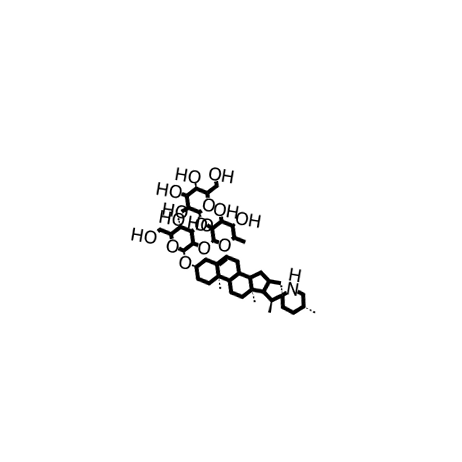 CC1O[C@@H](OC2C(O[C@@H]3OC(CO)[C@@H](O)C(O)C3O)[C@@H](O)C(CO)O[C@H]2O[C@H]2CC[C@@]3(C)C(=CCC4C5CC6C[C@]7(CC[C@@H](C)CN7)[C@@H](C)C6[C@@]5(C)CCC43)C2)C(O)C(O)[C@H]1O